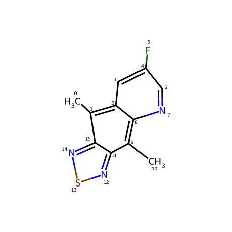 Cc1c2cc(F)cnc2c(C)c2nsnc12